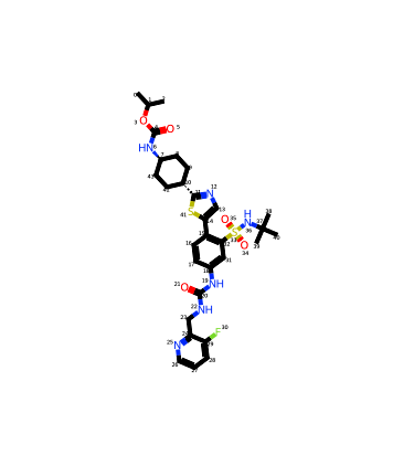 CC(C)OC(=O)N[C@H]1CC[C@H](c2ncc(-c3ccc(NC(=O)NCc4ncccc4F)cc3S(=O)(=O)NC(C)(C)C)s2)CC1